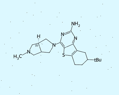 CN1CC2CN(c3nc(N)nc4c5c(sc34)CCC(C(C)(C)C)C5)C[C@@H]2C1